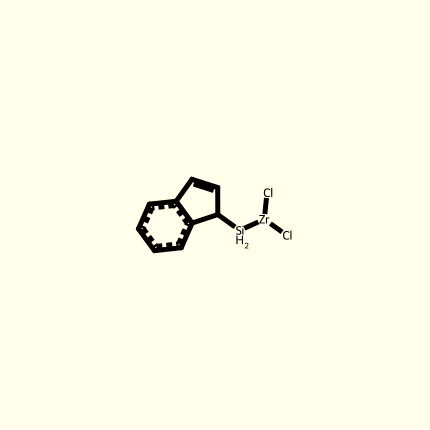 [Cl][Zr]([Cl])[SiH2]C1C=Cc2ccccc21